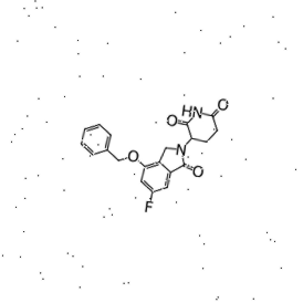 O=C1CCC(N2Cc3c(OCc4ccccc4)cc(F)cc3C2=O)C(=O)N1